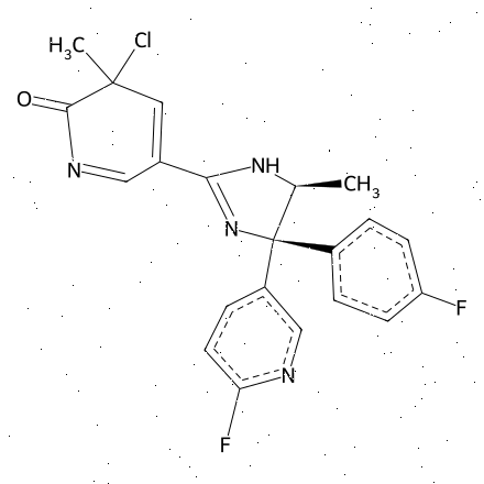 C[C@@H]1NC(C2=CC(C)(Cl)C(=O)N=C2)=N[C@@]1(c1ccc(F)cc1)c1ccc(F)nc1